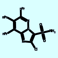 CCCc1nn2c(S(N)(=O)=O)c(Cl)nc2c(CCC)c1CCC